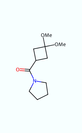 COC1(OC)CC(C(=O)N2CCCC2)C1